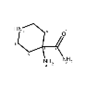 NC(=O)C1(N)CCNCC1